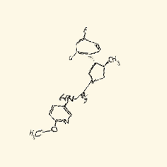 COc1ccc(NC(=S)N2C[C@H](c3ccc(F)cc3Cl)[C@@H](C)C2)cn1